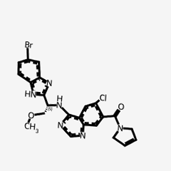 COC[C@@H](Nc1ncnc2cc(C(=O)N3CC=CC3)c(Cl)cc12)c1nc2cc(Br)ccc2[nH]1